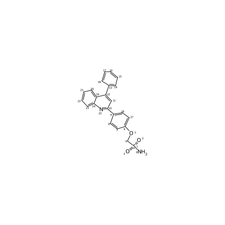 NS(=O)(=O)COc1ccc(-c2cc(-c3ccccc3)c3ccccc3n2)cc1